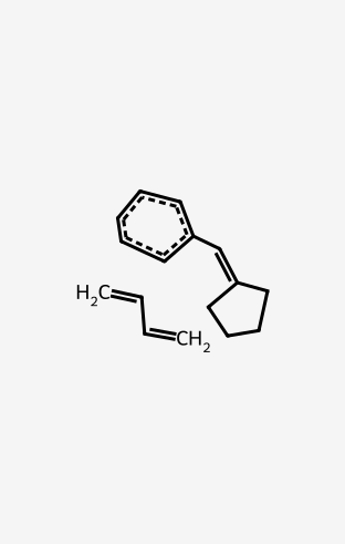 C(=C1CCCC1)c1ccccc1.C=CC=C